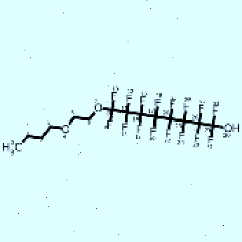 CCCCOCCOC(F)(F)C(F)(F)C(F)(F)C(F)(F)C(F)(F)C(F)(F)C(F)(F)C(O)(F)F